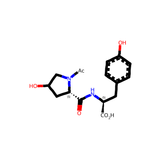 CC(=O)N1CC(O)C[C@H]1C(=O)N[C@@H](Cc1ccc(O)cc1)C(=O)O